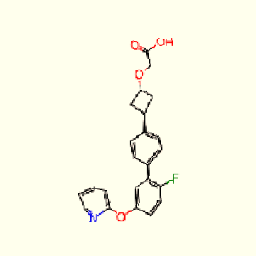 O=C(O)CO[C@H]1C[C@@H](c2ccc(-c3cc(Oc4ccccn4)ccc3F)cc2)C1